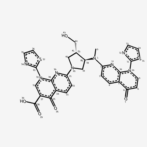 CN(c1ccc2c(=O)ccn(-c3nccs3)c2n1)[C@H]1CN(c2ccc3c(=O)c(C(=O)O)cn(-c4nccs4)c3n2)C[C@@H]1CO